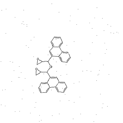 c1ccc2c(c1)cc(C(OC(c1cc3ccccc3c3ccccc13)C1CO1)C1CO1)c1ccccc12